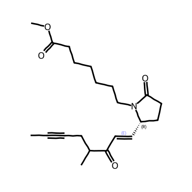 CC#CCC(C)C(=O)/C=C/[C@H]1CCC(=O)N1CCCCCCC(=O)OC